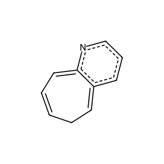 C1=CCC=c2cccnc2=C1